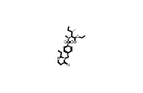 CCOC(=O)[C@H]([C@@H](C)CC)N(C)S(=O)(=O)c1ccc(Cn2c(CC)nccc2=O)cc1